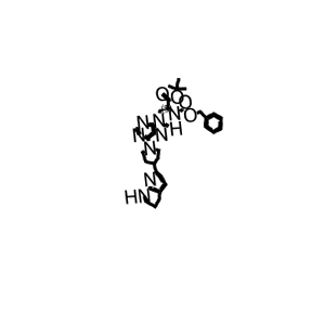 CC(C)(C)OC(=O)[C@H](Cn1cnc2c(N3CCC(c4ccc5c(n4)NCCC5)CC3)ncnc21)NC(=O)OCc1ccccc1